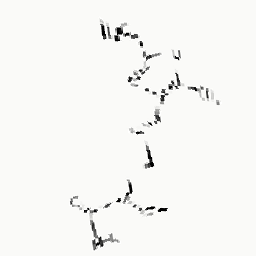 Cc1cc(COCCN(O)C(N)=O)c(C)o1